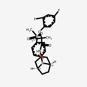 CC(C)(Oc1ccc(F)cc1F)C(=O)N[C@H]1C[C@H]2CC[C@@H](C1)N2c1ccc(S(C)(=O)=O)cc1